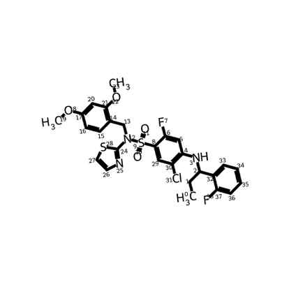 CCC(Nc1cc(F)c(S(=O)(=O)N(Cc2ccc(OC)cc2OC)c2nccs2)cc1Cl)c1ccccc1F